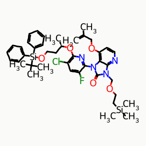 C=C(C)COc1ccnc2c1n(-c1nc(O[C@H](C)CCO[Si](c3ccccc3)(c3ccccc3)C(C)(C)C)c(Cl)cc1F)c(=O)n2COCC[Si](C)(C)C